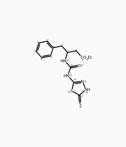 CCOC(=O)CC(Cc1ccccc1)NC(=O)Nc1n[nH]c(=S)s1